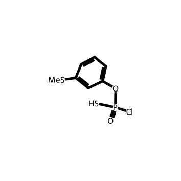 CSc1cccc(OP(=O)(S)Cl)c1